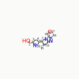 OCc1ccc(-c2cn3c4c(nc3cc2F)CCOC4)cn1